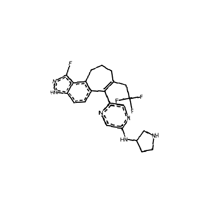 Fc1n[nH]c2ccc3c(c12)CCCC(CC(F)(F)F)=C3c1cnc(NC2CCNC2)cn1